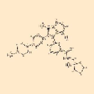 CN1CCN(c2ccc(-c3c(-c4cccc(C(=O)NCC5(N)CCCC5)c4)c4c(Cl)ccnc4n3C)cc2)CC1